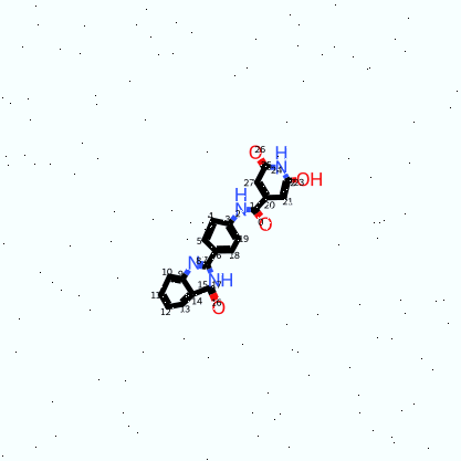 O=C(Nc1ccc(-c2nc3ccccc3c(=O)[nH]2)cc1)c1cc(O)[nH]c(=O)c1